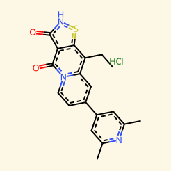 CCc1c2s[nH]c(=O)c2c(=O)n2ccc(-c3cc(C)nc(C)c3)cc12.Cl